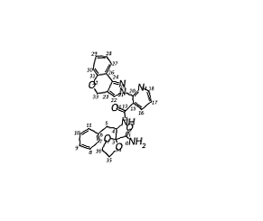 NC(=O)C1(C(Cc2ccccc2)NC(=O)c2cccnc2-n2cc3c(n2)-c2ccccc2OC3)OCCO1